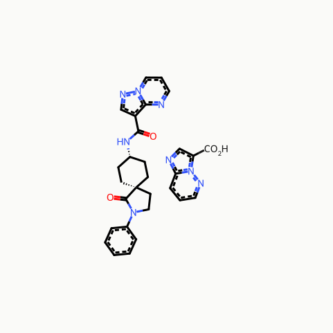 O=C(N[C@H]1CC[C@@]2(CCN(c3ccccc3)C2=O)CC1)c1cnn2cccnc12.O=C(O)c1cnc2cccnn12